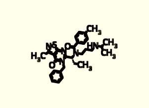 CC[C@H](c1nc2snc(C)c2c(=O)n1Cc1ccccc1)N(CCCNC(C)C)C(=O)c1ccc(C)cc1